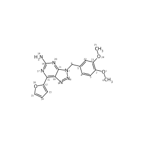 COc1ccc(Cn2nnc3c(-c4ccco4)nc(N)nc32)cc1OC